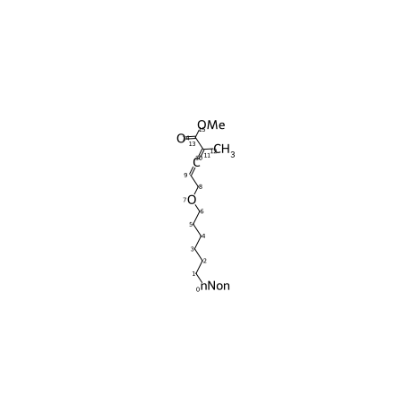 CCCCCCCCCCCCCCCOCC=C=C(C)C(=O)OC